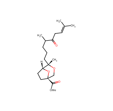 COC(=O)[C@@]12CC[C@@H](O1)[C@](C)(CCCC(C)C(=O)CC=C(C)C)OC2